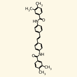 Cc1ccc(C(=O)Nc2ccc(C=Cc3ccc(NC(=O)c4ccc(C)c(C)c4)cc3)cc2)cc1C